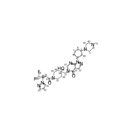 CN1CCN(c2cccc(-n3ncc4c(=O)n(CC5(O)CCN(C(=O)C[C@H](C(F)F)n6cccn6)CC5)cnc43)c2)CC1